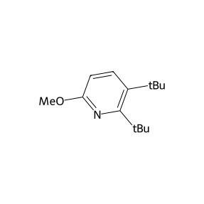 COc1ccc(C(C)(C)C)c(C(C)(C)C)n1